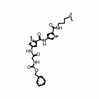 CN(C)CCCNC(=O)c1cc(NC(=O)c2cc(NC(=O)CNC(=O)OCc3ccccc3)cn2C)cn1C